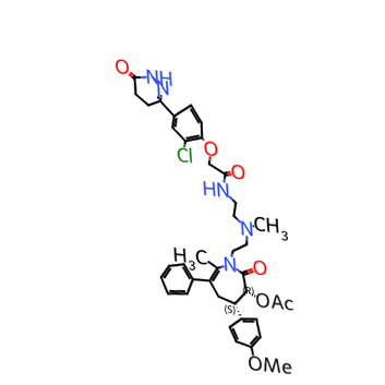 COc1ccc([C@@H]2CC(c3ccccc3)=C(C)N(CCN(C)CCNC(=O)COc3ccc(C4=NNC(=O)CC4)cc3Cl)C(=O)[C@@H]2OC(C)=O)cc1